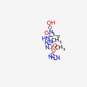 COc1c(Oc2cnn3ccncc23)cnc2nc(Nc3cc(C4CC4)cn(C4CC(O)C4)c3=O)n(C)c12